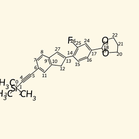 C[Si](C)(C)C#Cc1ccc2c(c1)CC(c1ccc(C3OCCCO3)cc1F)=C2